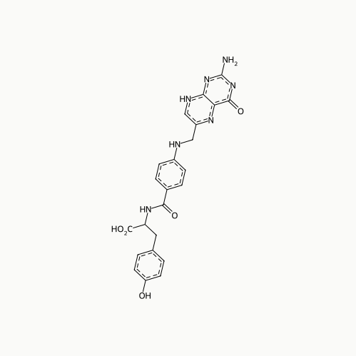 Nc1nc2[nH]cc(CNc3ccc(C(=O)NC(Cc4ccc(O)cc4)C(=O)O)cc3)nc-2c(=O)n1